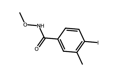 CONC(=O)c1ccc(I)c(C)c1